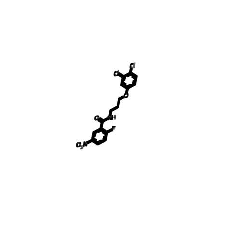 O=C(NCCCOc1ccc(Cl)c(Cl)c1)c1cc([N+](=O)[O-])ccc1F